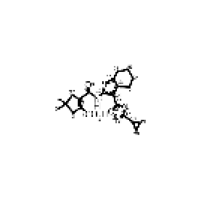 CC1(C)CC(C(=O)O)=C(C(=O)Nc2sc3c(c2-c2nc(C4CC4)no2)CCCC3)C1